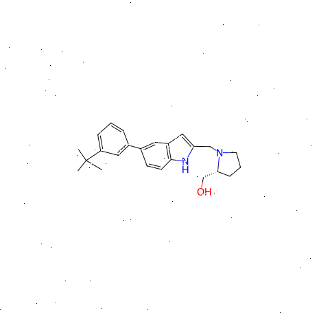 CC(C)(C)c1cccc(-c2ccc3[nH]c(CN4CCC[C@@H]4CO)cc3c2)c1